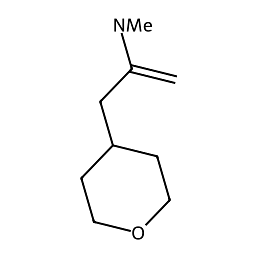 C=C(CC1CCOCC1)NC